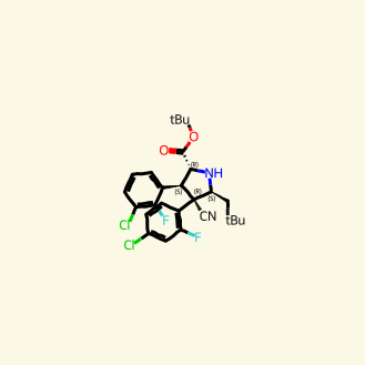 CC(C)(C)C[C@@H]1N[C@@H](C(=O)OC(C)(C)C)[C@H](c2cccc(Cl)c2F)[C@@]1(C#N)c1ccc(Cl)cc1F